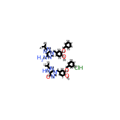 COc1ccc(Cn2cnc(=O)c3[nH]c(C(C)C)nc32)cc1OCc1ccccc1.COc1ccc(Cn2cnc(N)c3nc(C(C)C)nc2-3)cc1OCc1ccccc1.Cl